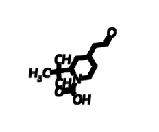 CC(C)(C)C1CC(CC=O)CCN1C(=O)O